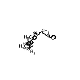 CCC(CC(=O)O)(c1ccc(C)c([C@H](C)O)c1)c1ccc2c(nnn2CCN(C)CCCOCc2ccccc2)c1C